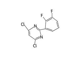 Fc1cccc(-c2nc(Cl)cc(Cl)n2)c1F